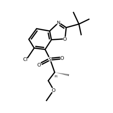 COC[C@@H](C)S(=O)(=O)c1c(Cl)ccc2nc(C(C)(C)C)oc12